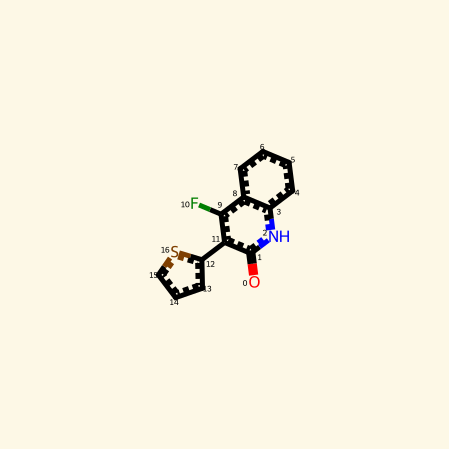 O=c1[nH]c2ccccc2c(F)c1-c1cccs1